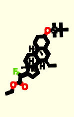 CCOC(=O)C(F)=C1CC[C@H]2[C@@H]3[C@H](CC)C=C4CC(O[Si](C)(C)C(C)(C)C)CC[C@]4(C)[C@H]3CC[C@]12C